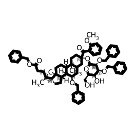 COc1ccccc1C(=O)[C@]1(OC2O[C@H](CO)[C@@H](O)[C@H](OCc3ccccc3)[C@H]2OCc2ccccc2)CC[C@@]2(C)C(C[C@@H](OCc3ccccc3)[C@H]3[C@@H]4CC[C@H]([C@H](C)CCC(=O)OCc5ccccc5)[C@@]4(C)CC[C@@H]32)C1